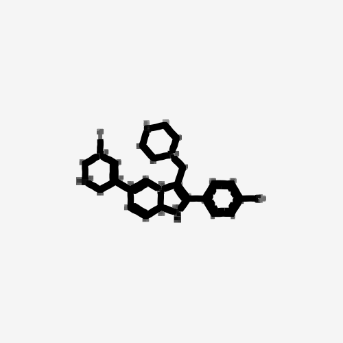 Clc1ccc(C2=C(CN3CCOCC3)N3C=C(C4=CN(I)CNC4)C=CC3N2)cc1